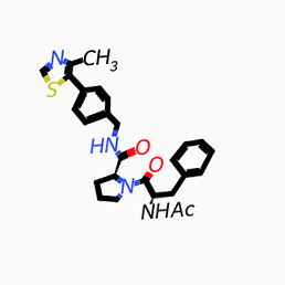 CC(=O)N[C@@H](Cc1ccccc1)C(=O)N1CCC[C@H]1C(=O)NCc1ccc(-c2scnc2C)cc1